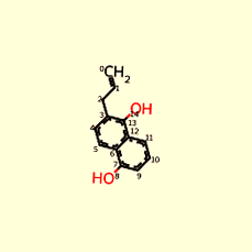 C=CCc1ccc2c(O)cccc2c1O